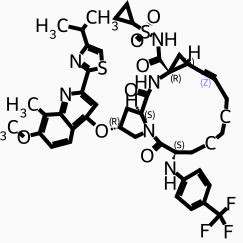 COc1ccc2c(O[C@@H]3C[C@H]4C(=O)N[C@]5(C(=O)NS(=O)(=O)C6CC6)C[C@H]5/C=C\CCCCC[C@H](Nc5ccc(C(F)(F)F)cc5)C(=O)N4C3)cc(-c3nc(C(C)C)cs3)nc2c1C